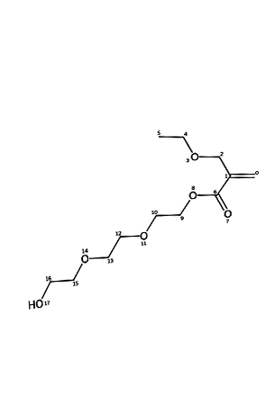 C=C(COCC)C(=O)OCCOCCOCCO